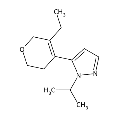 CCC1=C(c2ccnn2C(C)C)CCOC1